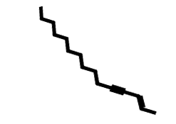 CC=CC#CCCCCCCCCCC